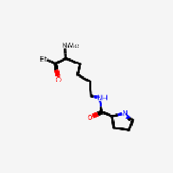 CCC(=O)C(CCCCNC(=O)C1CCC=N1)NC